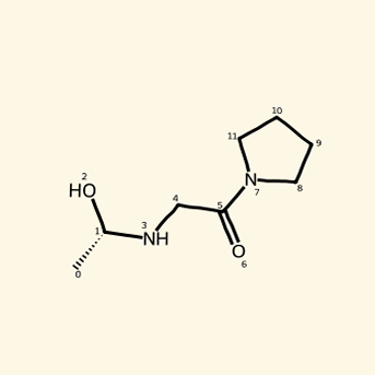 C[C@H](O)NCC(=O)N1CCCC1